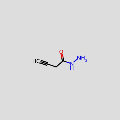 C#CCC(=O)NN